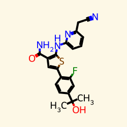 CC(C)(O)c1ccc(-c2cc(C(N)=O)c(Nc3cccc(CC#N)n3)s2)c(F)c1